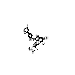 CC(C)[S+]([O-])c1c(Cn2c(=O)c(C#N)cc3cnc(Nc4ccc(C5CNCCO5)cc4)nc32)nnn1C